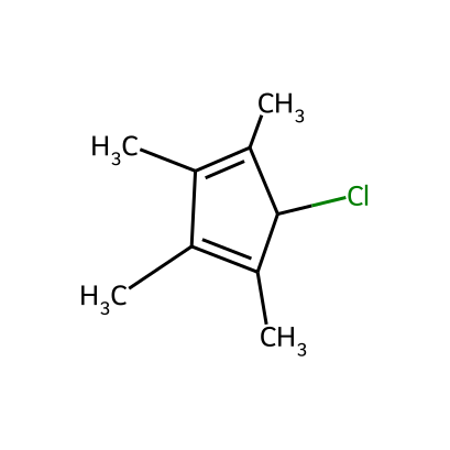 CC1=C(C)C(Cl)C(C)=C1C